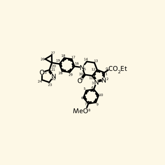 CCOC(=O)c1nn(-c2ccc(OC)cc2)c2c1CCN(c1ccc(C3(C4=NCCO4)CC3)cc1)C2=O